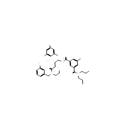 CCCN(CCC)C(=O)c1cc(C)cc(C(=O)N[C@@H](Cc2cc(F)cc(F)c2)[C@@H](O)[C@@H]2NCCN(Cc3cccc(F)c3)C2=O)c1